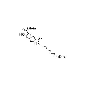 CCCCCCCCCCCCCCCCCCNC(=O)c1ccc2cc(O)c(C(=O)OC)cc2c1